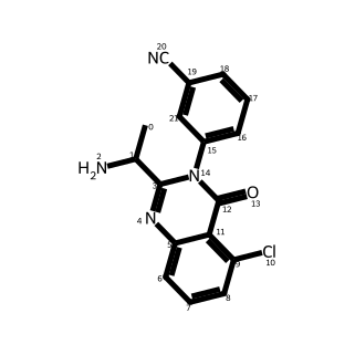 CC(N)c1nc2cccc(Cl)c2c(=O)n1-c1cccc(C#N)c1